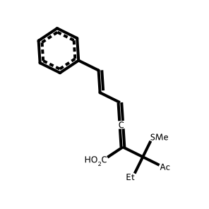 CCC(SC)(C(C)=O)C(=C=CC=Cc1ccccc1)C(=O)O